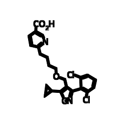 O=C(O)c1ccc(CCCCOCc2c(-c3c(Cl)cccc3Cl)noc2C2CC2)nc1